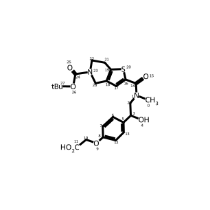 CN(CC(O)c1ccc(OCC(=O)O)cc1)C(=O)c1cc2c(s1)CCN(C(=O)OC(C)(C)C)C2